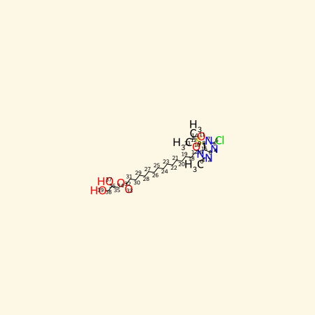 Cc1nc2nc(Cl)nc(S(=O)(=O)C(C)C)c2n1CCCCCCCCCCCCCCCC(=O)OCC(O)CO